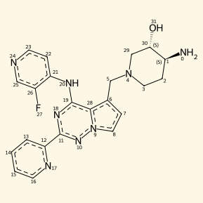 N[C@H]1CCN(Cc2ccn3nc(-c4ccccn4)nc(Nc4ccncc4F)c23)C[C@@H]1O